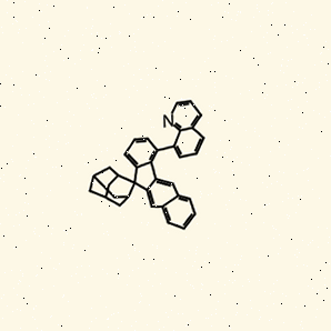 c1cc(-c2cccc3cccnc23)c2c(c1)C1(c3cc4ccccc4cc3-2)C2CC3CC(C2)CC1C3